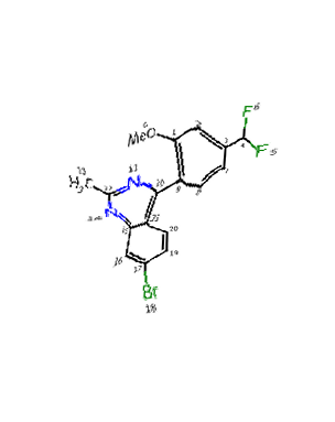 COc1cc(C(F)F)ccc1-c1nc(C)nc2cc(Br)ccc12